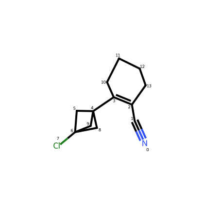 N#CC1=C(C23CC(Cl)(C2)C3)CCCC1